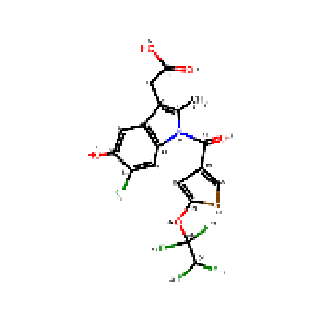 Cc1c(CC(=O)O)c2cc(O)c(Cl)cc2n1C(=O)c1csc(OC(F)(F)C(F)F)c1